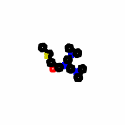 c1ccc(-c2ccc(-c3ccc4oc5ccc(-n6c7ccc(-n8c9ccccc9c9ccccc98)cc7c7cc(-n8c9ccccc9c9ccccc98)ccc76)cc5c4c3)s2)cc1